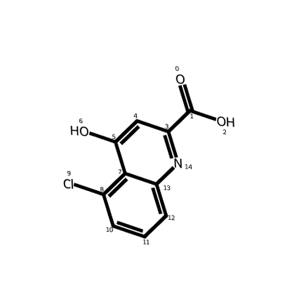 O=C(O)c1cc(O)c2c(Cl)cccc2n1